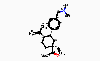 C=C[C@]1(C(=O)OC)CC[C@@H](C(=C)C)[C@H](c2ccc(CN(CC)CC)cc2)C1